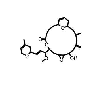 C=C1CC(C)CC2CC=CC(CCCC(=O)OC(C(C=CC3CC(C)=CCO3)OC)CC3OC3C(O)C1)O2